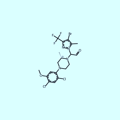 COc1cc(N2CCN(C(C=O)n3nc(C(F)(F)F)c(Br)c3C)[C@@H](C)C2)c(Cl)cc1Cl